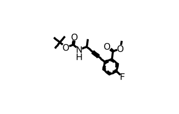 COC(=O)c1cc(F)ccc1C#CC(C)NC(=O)OC(C)(C)C